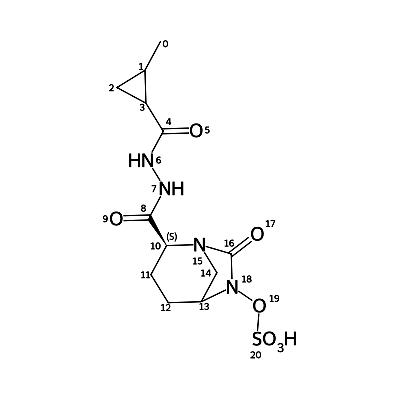 CC1CC1C(=O)NNC(=O)[C@@H]1CCC2CN1C(=O)N2OS(=O)(=O)O